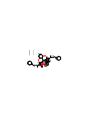 CC1=N/C(=C(/c2c(C)cc(O)cc2C)c2c(C)c(C(=O)OCc3ccccc3)c(C)n2B(F)F)C(C)=C1C(=O)OCc1ccccc1